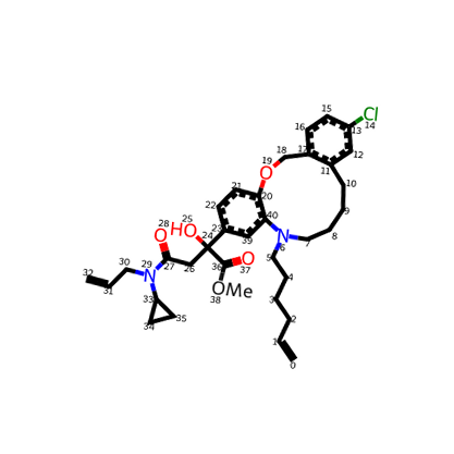 C=CCCCCN1CCCCc2cc(Cl)ccc2COc2ccc(C(O)(CC(=O)N(CC=C)C3CC3)C(=O)OC)cc21